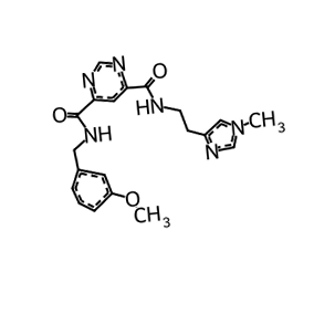 COc1cccc(CNC(=O)c2cc(C(=O)NCCc3cn(C)cn3)ncn2)c1